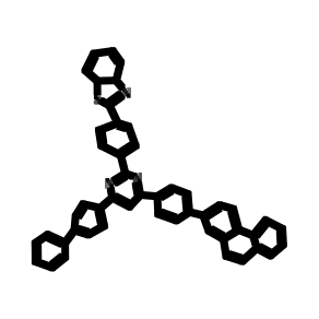 C1=CC2N=C(c3ccc(-c4nc(-c5ccc(-c6ccccc6)cc5)cc(-c5ccc(-c6ccc7c(ccc8ccccc87)c6)cc5)n4)cc3)SC2C=C1